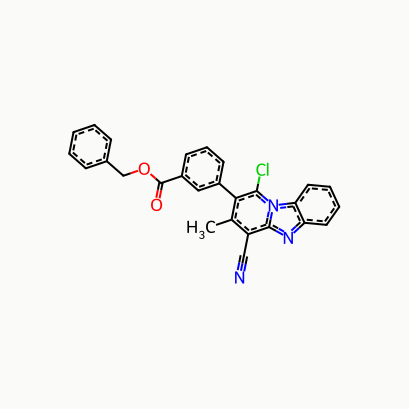 Cc1c(-c2cccc(C(=O)OCc3ccccc3)c2)c(Cl)n2c(nc3ccccc32)c1C#N